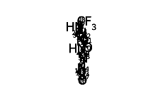 O=C(NC1CCN(CCN2CCC3(CC2)COC3)CC1)c1ccc2nc(NCC(F)(F)F)ccc2n1